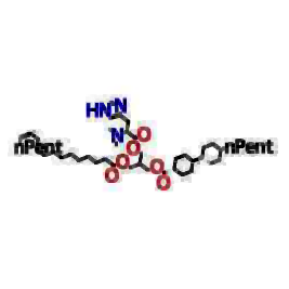 CCCCC/C=C\C/C=C\CCCCCCCC(=O)OCC(COC(=O)[C@H](Cc1c[nH]cn1)N(C)C)COC(=O)[C@H]1CC[C@H]([C@H]2CC[C@H](CCCCC)CC2)CC1